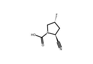 N#C[C@@H]1C[C@@H](F)CN1C(=O)O